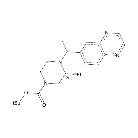 CC[C@@H]1CN(C(=O)OC(C)(C)C)CCN1C(C)c1ccc2nccnc2c1